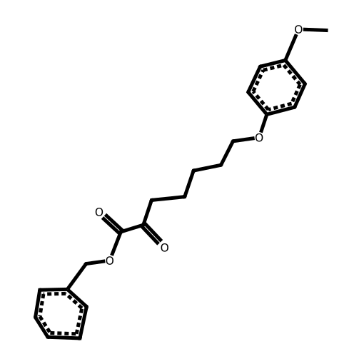 COc1ccc(OCCCCCC(=O)C(=O)OCc2ccccc2)cc1